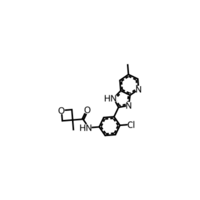 Cc1cnc2nc(-c3cc(NC(=O)C4(C)COC4)ccc3Cl)[nH]c2c1